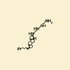 CC(C)CCC[C@@H](C)[C@H]1CCC2C3CC[C@@H]4C[C@H](NCCCNCCNCCCN)CC[C@]4(C)C3CC[C@@]21C